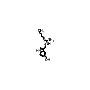 CCCCCN=C(N)NN=Cc1c[nH]c2ccc(CO)cc12